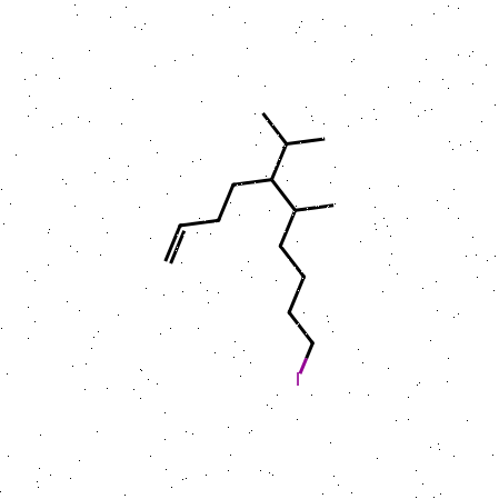 C=CCCC(C(C)C)C(C)CCCCI